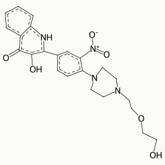 O=c1c(O)c(-c2ccc(N3CCN(CCOCCO)CC3)c([N+](=O)[O-])c2)[nH]c2ccccc12